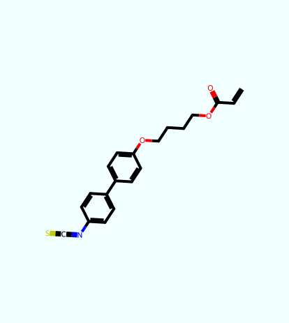 C=CC(=O)OCCCCOc1ccc(-c2ccc(N=C=S)cc2)cc1